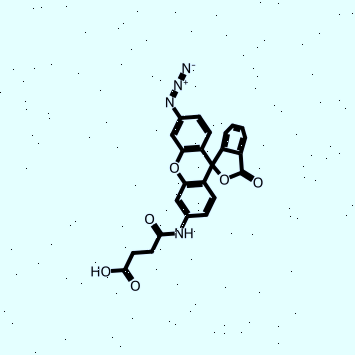 [N-]=[N+]=Nc1ccc2c(c1)Oc1cc(NC(=O)CCC(=O)O)ccc1C21OC(=O)c2ccccc21